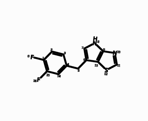 Fc1ccc(Cc2c[nH]c3ncsc23)cc1F